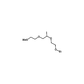 CCOCCOC(C)COCCOC